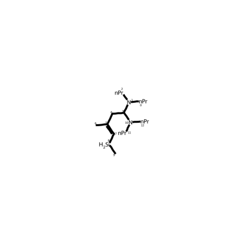 CCCN(CCC)C(CC(C)=C[SiH2]C)N(CCC)CCC